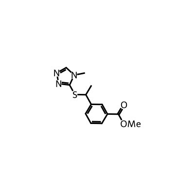 COC(=O)c1cccc(C(C)Sc2nncn2C)c1